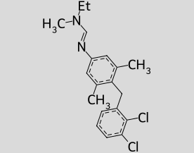 CCN(C)C=Nc1cc(C)c(Cc2cccc(Cl)c2Cl)c(C)c1